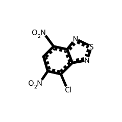 O=[N+]([O-])c1cc([N+](=O)[O-])c2nsnc2c1Cl